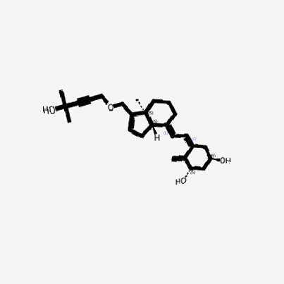 C=C1/C(=C\C=C2/CCC[C@]3(C)C(COCC#CC(C)(C)O)=CC[C@@H]23)C[C@@H](O)C[C@@H]1O